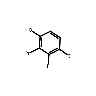 CC(C)c1c(O)ccc(Cl)c1F